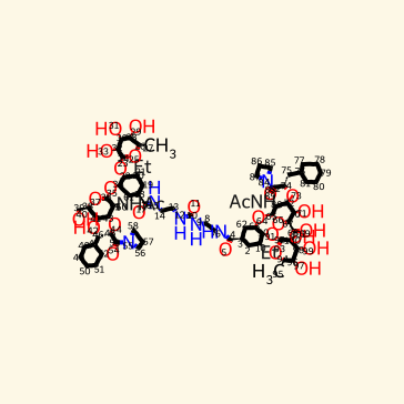 CC[C@H]1C[C@@H](C(=O)NCCNC(=O)NCCNC(=O)[C@@H]2C[C@H](CC)[C@@H](O[C@@H]3O[C@@H](C)[C@@H](O)[C@@H](O)[C@@H]3O)[C@H](O[C@@H]3O[C@H](CO)[C@H](O)[C@H](O[C@@H](CC4CCCCC4)C(=O)N4CCC4)[C@H]3NC(C)=O)C2)C[C@@H](O[C@@H]2O[C@H](CO)[C@H](O)[C@H](O[C@@H](CC3CCCCC3)C(=O)N3CCC3)[C@H]2NC(C)=O)[C@@H]1O[C@@H]1O[C@@H](C)[C@@H](O)[C@@H](O)[C@@H]1O